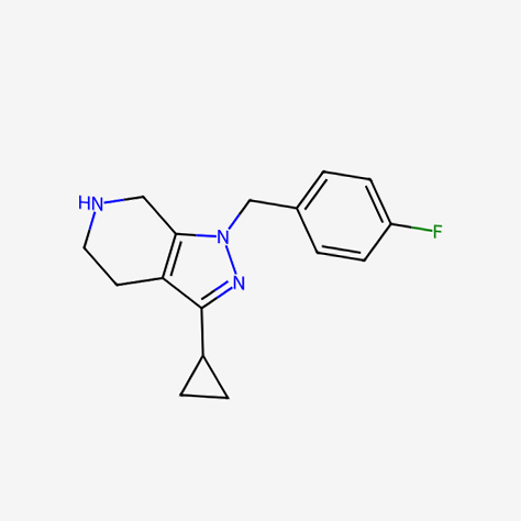 Fc1ccc(Cn2nc(C3CC3)c3c2CNCC3)cc1